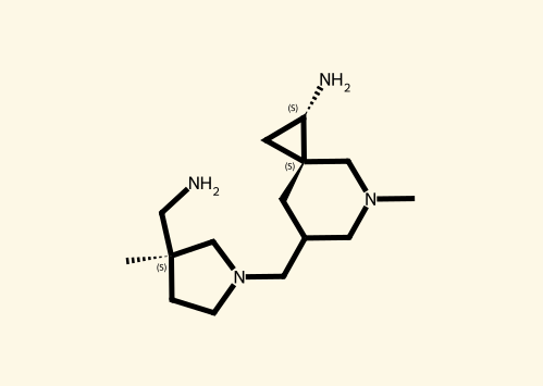 CN1CC(CN2CC[C@@](C)(CN)C2)C[C@]2(C[C@@H]2N)C1